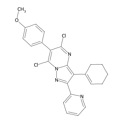 COc1ccc(-c2c(Cl)nc3c(C4=CCCCC4)c(-c4ccccn4)nn3c2Cl)cc1